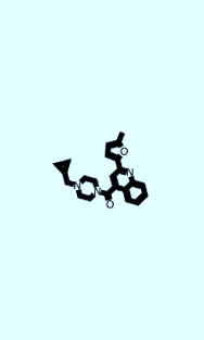 Cc1ccc(-c2cc(C(=O)N3CCN(CC4CC4)CC3)c3ccccc3n2)o1